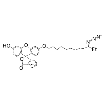 CCC(CCCCCCCCCOc1ccc2c(c1)Oc1cc(O)ccc1C21OC(=O)c2ccccc21)N=[N+]=[N-]